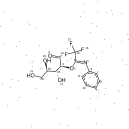 O=C[C@@H](O/C(=N\c1ccccc1)C(F)(F)F)[C@H](O)[C@H](O)CO